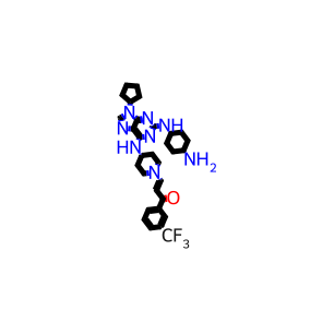 N[C@H]1CC[C@H](Nc2nc(NC3CCN(/C=C/C(=O)c4cccc(C(F)(F)F)c4)CC3)c3ncn(C4CCCC4)c3n2)CC1